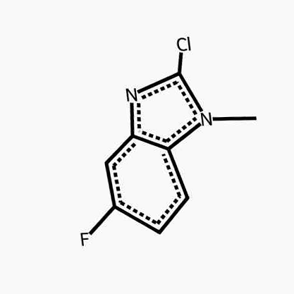 Cn1c(Cl)nc2cc(F)ccc21